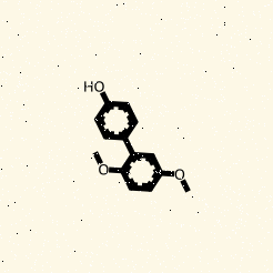 COc1ccc(OC)c(-c2ccc(O)cc2)c1